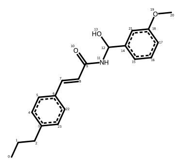 CCCc1ccc(C=CC(=O)NC(O)c2cccc(OC)c2)cc1